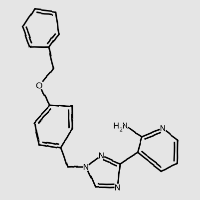 Nc1ncccc1-c1ncn(Cc2ccc(OCc3ccccc3)cc2)n1